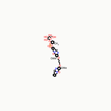 COc1cc2c(cc1OCCCCCOc1cc3c(cc1OC)C(=O)N1Cc4cc(OS(=O)(=O)Oc5cc(C)ccc5O[C@@H]5O[C@H](CO)[C@H](O)[C@H](O)[C@H]5O)ccc4C[C@H]1C=N3)N=C[C@@H]1Cc3ccccc3CN1C2=O